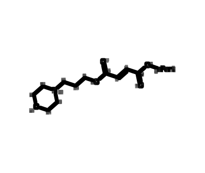 CCCCCOC(=O)/C=C/C(=O)OCCCN1CCOCC1